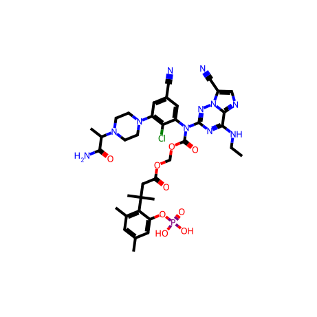 CCNc1nc(N(C(=O)OCOC(=O)CC(C)(C)c2c(C)cc(C)cc2OP(=O)(O)O)c2cc(C#N)cc(N3CCN(C(C)C(N)=O)CC3)c2Cl)nn2c(C#N)cnc12